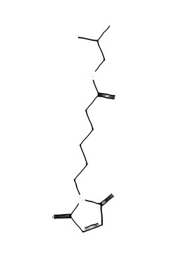 CC(C)CNC(=O)CCCCCN1C(=O)C=CC1=O